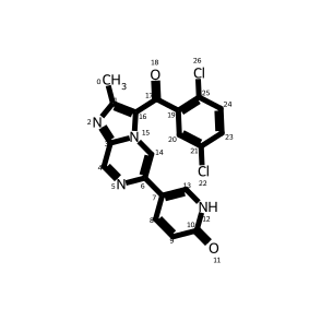 Cc1nc2cnc(-c3ccc(=O)[nH]c3)cn2c1C(=O)c1cc(Cl)ccc1Cl